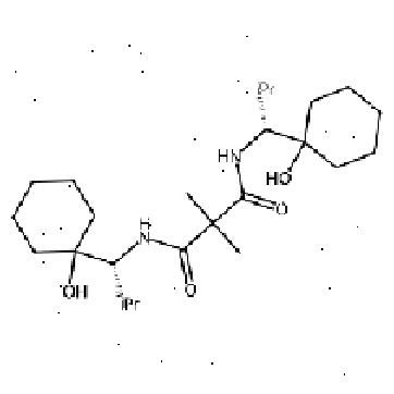 CC(C)[C@@H](NC(=O)C(C)(C)C(=O)N[C@H](C(C)C)C1(O)CCCCC1)C1(O)CCCCC1